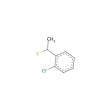 CC([S])c1ccccc1Cl